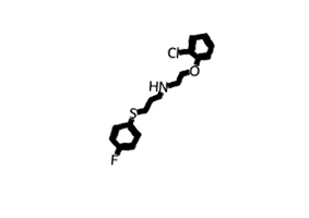 Fc1ccc(SCCCNCCOc2ccccc2Cl)cc1